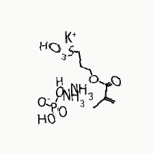 C=C(C)C(=O)OCCCS(=O)(=O)O.N.N.O=P([O-])(O)O.[K+]